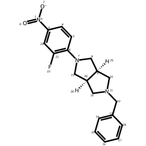 O=[N+]([O-])c1ccc(N2C[C@H]3CN(Cc4ccccc4)C[C@H]3C2)c(F)c1